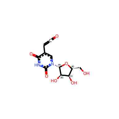 O=C=Cc1cn([C@@H]2O[C@H](CO)[C@@H](O)[C@H]2O)c(=O)[nH]c1=O